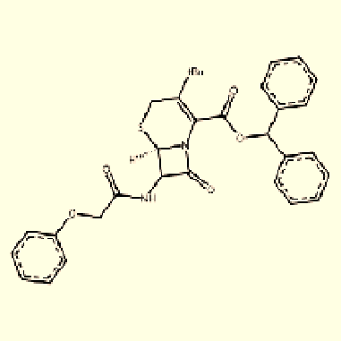 CC(C)(C)C1=C(C(=O)OC(c2ccccc2)c2ccccc2)N2C(=O)C(NC(=O)COc3ccccc3)[C@H]2SC1